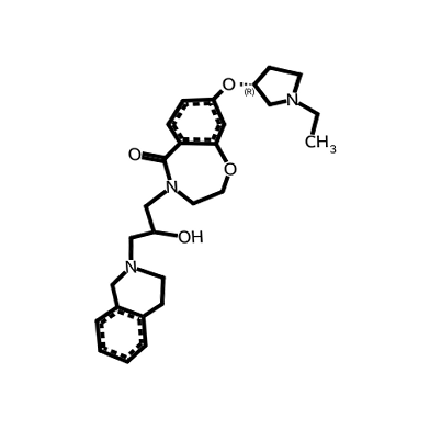 CCN1CC[C@@H](Oc2ccc3c(c2)OCCN(CC(O)CN2CCc4ccccc4C2)C3=O)C1